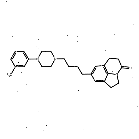 O=C1CCc2cc(CCCCN3CCN(c4cccc(C(F)(F)F)c4)CC3)cc3c2N1CC3